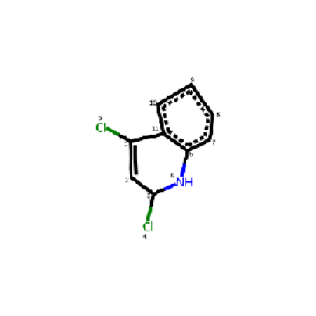 ClC1=CC(Cl)Nc2ccccc21